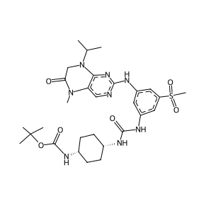 CC(C)N1CC(=O)N(C)c2cnc(Nc3cc(NC(=O)N[C@H]4CC[C@@H](NC(=O)OC(C)(C)C)CC4)cc(S(C)(=O)=O)c3)nc21